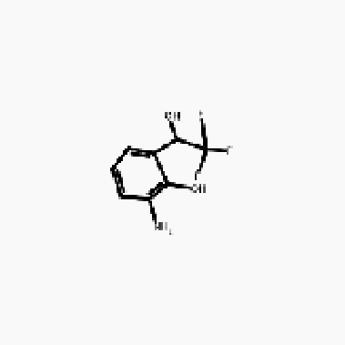 Nc1cccc(C(O)C(F)(F)F)c1O